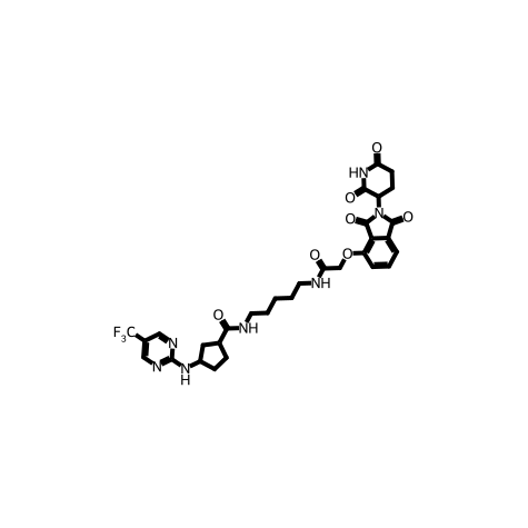 O=C(COc1cccc2c1C(=O)N(C1CCC(=O)NC1=O)C2=O)NCCCCCNC(=O)C1CCC(Nc2ncc(C(F)(F)F)cn2)C1